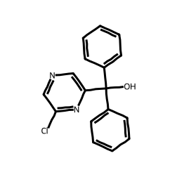 OC(c1ccccc1)(c1ccccc1)c1cncc(Cl)n1